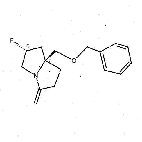 C=C1CC[C@@]2(COCc3ccccc3)C[C@@H](F)CN12